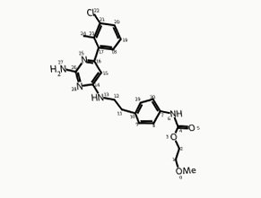 COCCOC(=O)Nc1ccc(CCNc2cc(-c3cccc(Cl)c3C)nc(N)n2)cc1